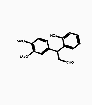 COc1ccc(C(CC=O)c2ccccc2O)cc1OC